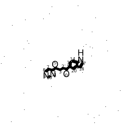 O=C(CCC(=O)c1ccncn1)c1ccc2[nH]ccc2c1